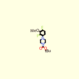 COc1c(F)ccc(N2CCN(C(=O)OC(C)(C)C)CC2)c1F